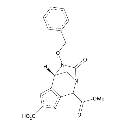 COC(=O)C1c2sc(C(=O)O)cc2[C@H]2CN1C(=O)N2OCc1ccccc1